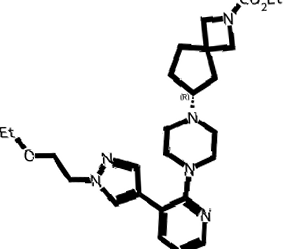 CCOCCn1cc(-c2cccnc2N2CCN([C@@H]3CCC4(C3)CN(C(=O)OCC)C4)CC2)cn1